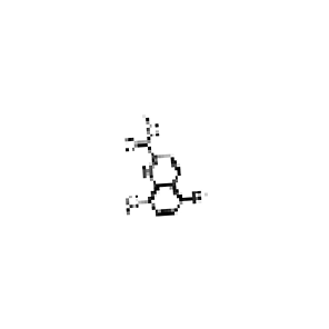 COC(=O)c1ccc2c(Br)ccc(OC)c2n1